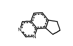 c1ncc2ccc3c(c2n1)CCC3